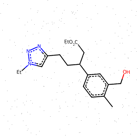 CCOC(=O)CC(CCc1cn(CC)nn1)c1ccc(C)c(CO)c1